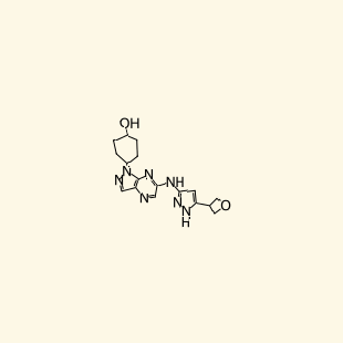 OC1CCC(n2ncc3ncc(Nc4cc(C5COC5)[nH]n4)nc32)CC1